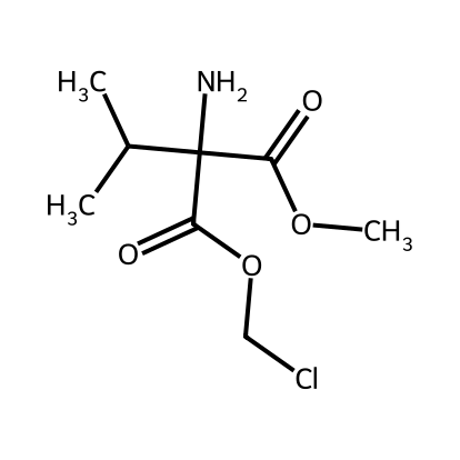 COC(=O)C(N)(C(=O)OCCl)C(C)C